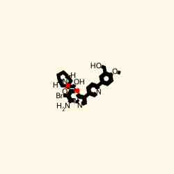 COc1ccc(-c2ccc(-c3cnn4c(N)c(Br)c([C@@H]5C[C@H]6CC[C@@H](C5)N6C(=O)[C@@H](C)O)nc34)cn2)cc1CO